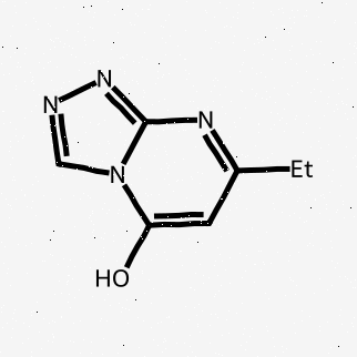 CCc1cc(O)n2cnnc2n1